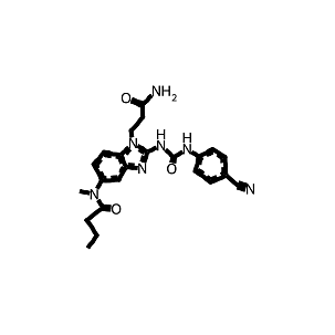 CCCC(=O)N(C)c1ccc2c(c1)nc(NC(=O)Nc1ccc(C#N)cc1)n2CCC(N)=O